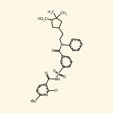 CC(C)(C)c1ccc(C(=O)NS(=O)(=O)c2cccc(C(=O)N(CCC3CN(C(=O)O)C(C)(C)C3)c3ccccc3)c2)c(Cl)n1